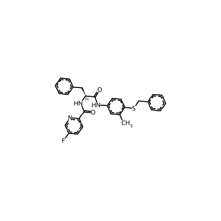 Cc1cc(NC(=O)[C@H](Cc2ccccc2)NC(=O)c2ccc(F)cn2)ccc1SCc1ccccc1